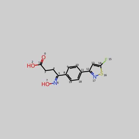 O=C(O)CCC(=NO)c1ccc(-c2cc(F)sn2)cc1